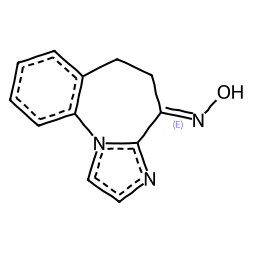 O/N=C1\CCc2ccccc2-n2ccnc21